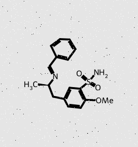 COc1ccc(C[C@@H](C)/N=C/c2ccccc2)cc1S(N)(=O)=O